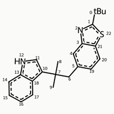 CC(C)(C)c1nc2cc(CC(C)(C)c3c[nH]c4ccccc34)ccc2s1